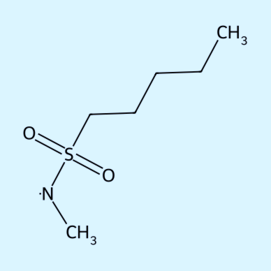 CCCCCS(=O)(=O)[N]C